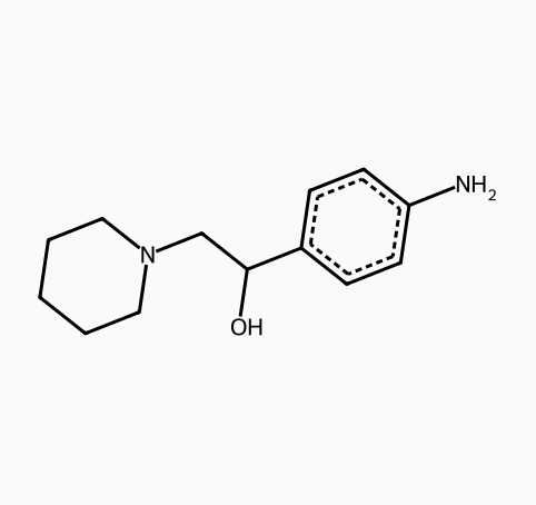 Nc1ccc(C(O)CN2CCCCC2)cc1